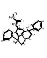 CCNC(=O)Nc1cc2c3c(c1)[C@@](C)(c1ccccc1)CCN3CC[C@@]2(C)c1ccccc1